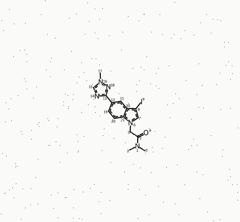 CN(C)C(=O)Cn1cc(I)c2cc(-c3ncn(C)n3)ccc21